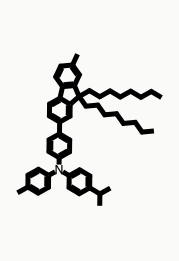 CCCCCCCCC1(CCCCCCCC)c2cc(C)ccc2-c2ccc(-c3ccc(N(c4ccc(C)cc4)c4ccc(C(C)C)cc4)cc3)cc21